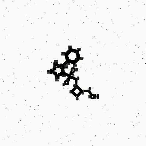 O=S(=O)(C[C@@H]1CC[C@H]1CO)c1nnnn1-c1ccccc1